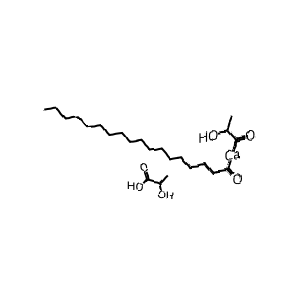 CC(O)C(=O)O.CCCCCCCCCCCCCCCCC[C](=O)[Ca][C](=O)C(C)O